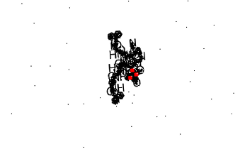 COc1ccc(C(OC[C@H]2OC(n3cnc4c(=O)[nH]c(NC(=O)CCNC(=O)c5ccc(CNC(=O)OCC6c7ccccc7-c7ccccc76)cc5)nc43)CC2OP(OCCC#N)OC[C@H]2O[C@@H](n3ccc(NC(=O)CCCN(C)C(=O)OCC4c5ccccc5-c5ccccc54)nc3=O)CC2OP(OCCC#N)N(C(C)C)C(C)C)(c2ccccc2)c2ccc(OC)cc2)cc1